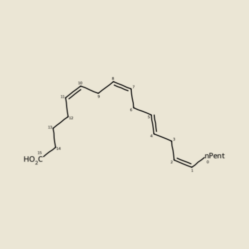 CCCCC/C=C\C/C=C/C/C=C\C/C=C\CCCC(=O)O